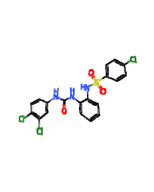 O=C(Nc1ccc(Cl)c(Cl)c1)Nc1ccccc1NS(=O)(=O)c1ccc(Cl)cc1